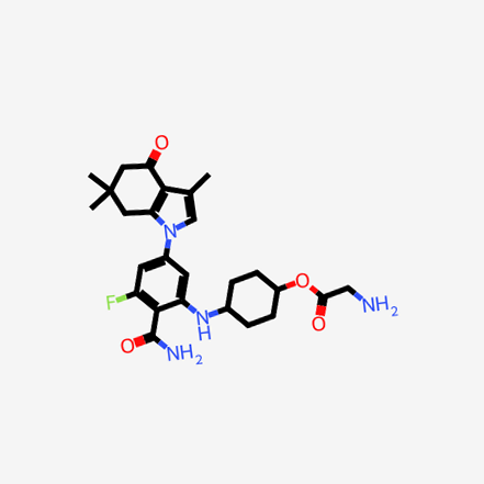 Cc1cn(-c2cc(F)c(C(N)=O)c(NC3CCC(OC(=O)CN)CC3)c2)c2c1C(=O)CC(C)(C)C2